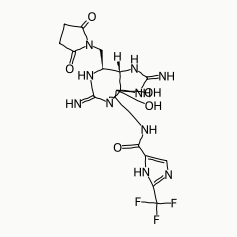 N=C1N[C@H]2[C@H](CN3C(=O)CCC3=O)NC(=N)N3CC(NC(=O)c4cnc(C(F)(F)F)[nH]4)C(O)(O)C23N1